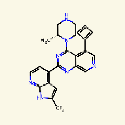 C[C@@H]1CNCCN1c1nc(-c2ccnc3[nH]c(C(F)(F)F)cc23)nc2cncc(C3=CC=C3)c12